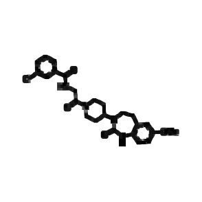 COc1ccc2c(c1)CCN(C1CCN(C(=O)CNC(=O)c3cccc(Cl)c3)CC1)C(=O)N2